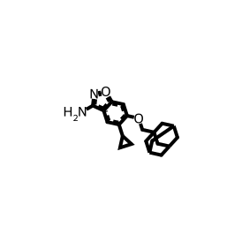 Nc1noc2cc(OCC34CC5CC(CC(C5)C3)C4)c(C3CC3)cc12